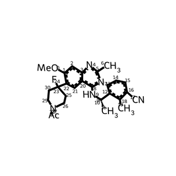 COc1cc2nc(C)nc(N[C@H](C)c3cccc(C#N)c3C)c2cc1C1(F)CCN(C(C)=O)CC1